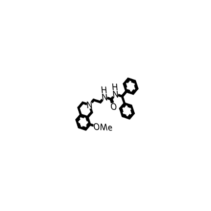 COc1cccc2c1CN(CCNC(=O)NC(c1ccccc1)c1ccccc1)CC2